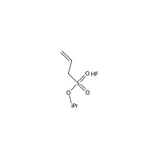 C=CCS(=O)(=O)OC(C)C.F